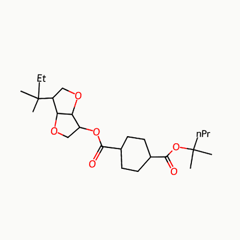 CCCC(C)(C)OC(=O)C1CCC(C(=O)OC2COC3C2OCC3C(C)(C)CC)CC1